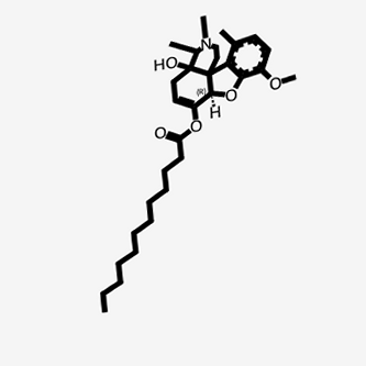 CCCCCCCCCCCC(=O)OC1=CCC2(O)C(C)N(C)CCC23c2c(C)ccc(OC)c2O[C@@H]13